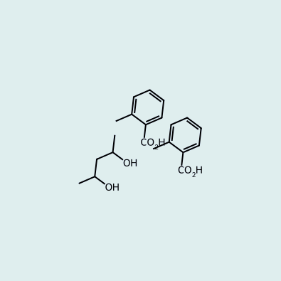 CC(O)CC(C)O.Cc1ccccc1C(=O)O.Cc1ccccc1C(=O)O